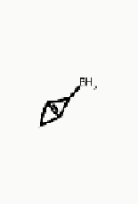 BC1C2=C1C2